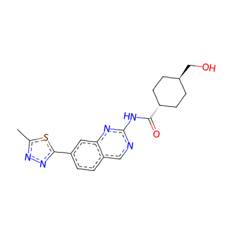 Cc1nnc(-c2ccc3cnc(NC(=O)[C@H]4CC[C@H](CO)CC4)nc3c2)s1